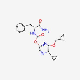 NC(=O)[C@H](Cc1ccccc1)NC(=O)Oc1cnc(C2CC2)c(OCC2CC2)n1